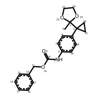 CC1(C2(c3ccc(NC(=O)OCc4ccccc4)cc3)CC2)OCCO1